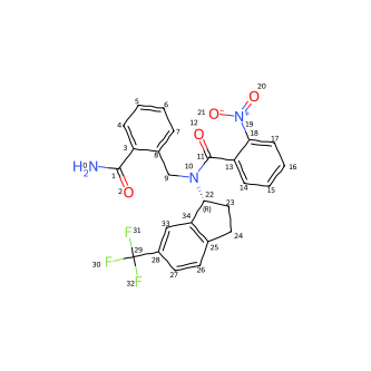 NC(=O)c1ccccc1CN(C(=O)c1ccccc1[N+](=O)[O-])[C@@H]1CCc2ccc(C(F)(F)F)cc21